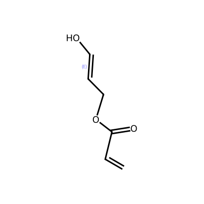 C=CC(=O)OC/C=C/O